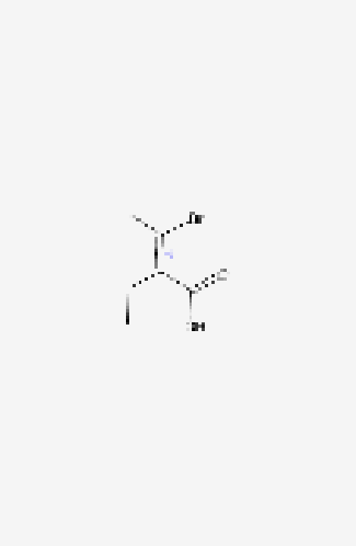 CC/C(C(=O)O)=C(\C)Br